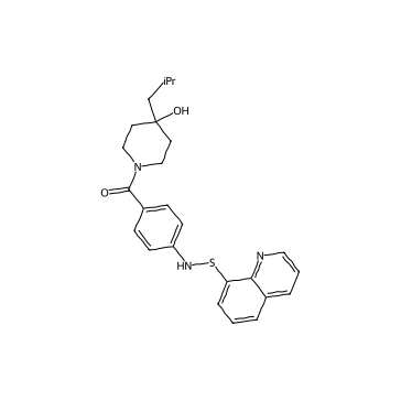 CC(C)CC1(O)CCN(C(=O)c2ccc(NSc3cccc4cccnc34)cc2)CC1